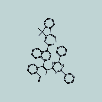 C=Cc1ccccc1/C(=C(\C)c1nc(-c2ccccc2)nc(-c2ccccc2)n1)c1ccc(C(=C)/C=C2\C(=C/C)c3ccccc3C2(C)C)c2ccccc12